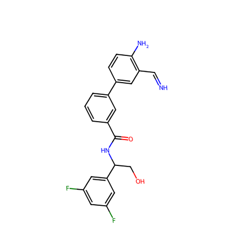 N=Cc1cc(-c2cccc(C(=O)NC(CO)c3cc(F)cc(F)c3)c2)ccc1N